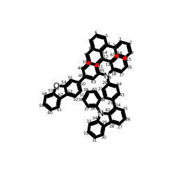 c1ccc(-c2cccc3cccc(-c4ccccc4N(c4ccc(-c5cccc6c7ccccc7n(-c7ccccc7)c56)cc4)c4cccc(-c5ccc6c(c5)oc5ccccc56)c4)c23)cc1